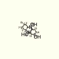 Cc1cc2c(cc1C)[n+](O)c1cc(O)ccc1[n+]2O